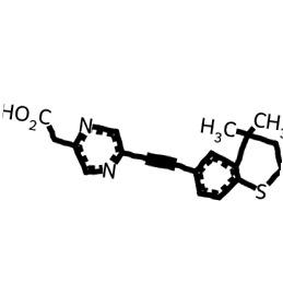 CC1(C)CCSc2ccc(C#Cc3cnc(CC(=O)O)cn3)cc21